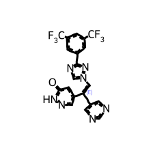 O=c1cc(/C(=C\n2cnc(-c3cc(C(F)(F)F)cc(C(F)(F)F)c3)n2)c2cncnc2)cn[nH]1